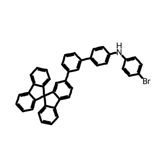 Brc1ccc(Nc2ccc(-c3cccc(-c4ccc5c(c4)C4(c6ccccc6-c6ccccc64)c4ccccc4-5)c3)cc2)cc1